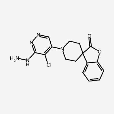 NNc1nncc(N2CCC3(CC2)C(=O)Oc2ccccc23)c1Cl